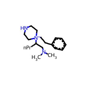 [CH2]CCC(CN(C)C)[N+]1(CCc2ccccc2)CCNCC1